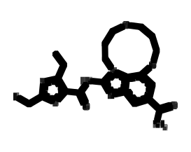 CCc1nc(CF)sc1C(=O)Nc1nc2cc(C(N)=O)cc3c2n1CCCOCCCO3